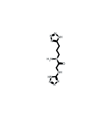 NN(CCCc1nnn[nH]1)C(=O)CNc1nnn[nH]1